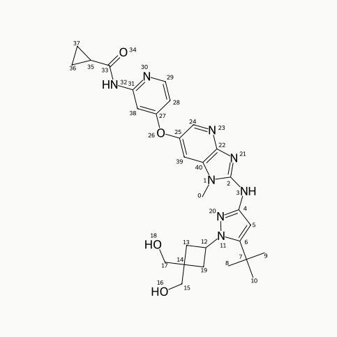 Cn1c(Nc2cc(C(C)(C)C)n(C3CC(CO)(CO)C3)n2)nc2ncc(Oc3ccnc(NC(=O)C4CC4)c3)cc21